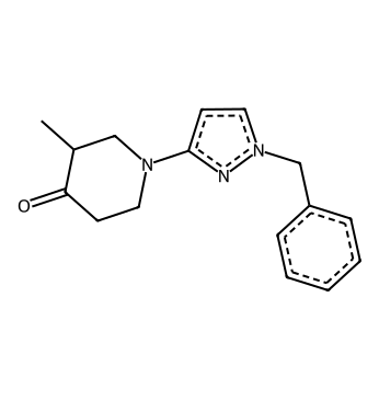 CC1CN(c2ccn(Cc3ccccc3)n2)CCC1=O